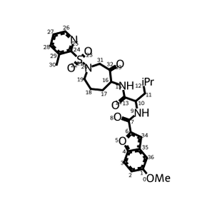 COc1ccc2oc(C(=O)NC(CC(C)C)C(=O)NC3CCCN(S(=O)(=O)c4ncccc4C)CC3=O)cc2c1